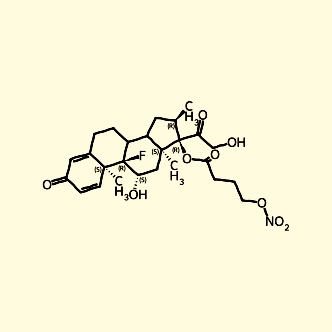 C[C@@H]1CC2C3CCC4=CC(=O)C=C[C@]4(C)[C@@]3(F)[C@@H](O)C[C@]2(C)[C@@]1(OC(=O)CCCO[N+](=O)[O-])C(=O)CO